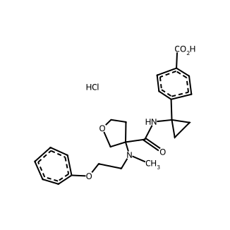 CN(CCOc1ccccc1)C1(C(=O)NC2(c3ccc(C(=O)O)cc3)CC2)CCOC1.Cl